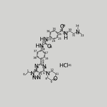 CCn1nnc2c(N3CCOCC3)nc(-c3ccc(NC(=O)Nc4ccc(C(=O)NCCN(C)C)cc4)cc3)nc21.Cl